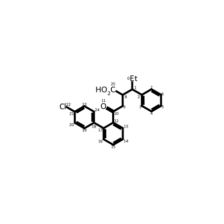 CCC(c1ccccc1)C(CC(=O)c1ccccc1-c1ccc(Cl)cc1)C(=O)O